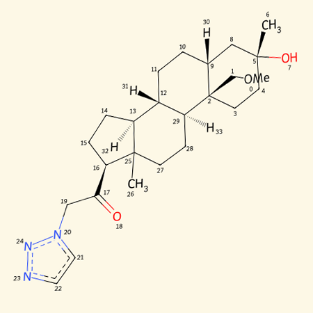 COC[C@]12CC[C@@](C)(O)C[C@H]1CC[C@H]1[C@@H]3CC[C@H](C(=O)Cn4ccnn4)C3(C)CC[C@@H]12